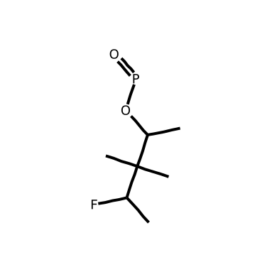 CC(F)C(C)(C)C(C)OP=O